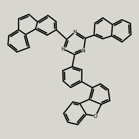 c1cc(-c2nc(-c3ccc4ccccc4c3)nc(-c3ccc4ccc5ccccc5c4c3)n2)cc(-c2cccc3oc4ccccc4c23)c1